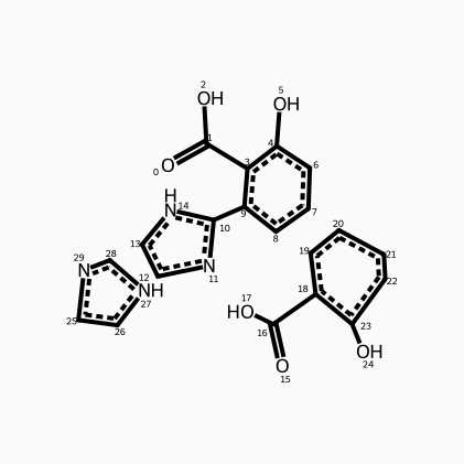 O=C(O)c1c(O)cccc1-c1ncc[nH]1.O=C(O)c1ccccc1O.c1c[nH]cn1